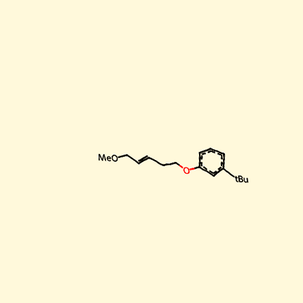 COC/C=C/CCOc1cccc(C(C)(C)C)c1